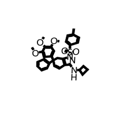 COc1cc(C2(c3ccccc3)C=Cc3c(NC4CCC4)nn(S(=O)(=O)c4ccc(C)cc4)c3C2)cc(OC)c1OC